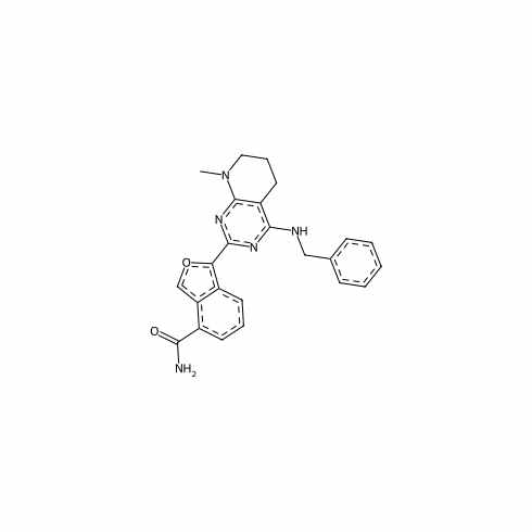 CN1CCCc2c(NCc3ccccc3)nc(-c3occ4c(C(N)=O)cccc34)nc21